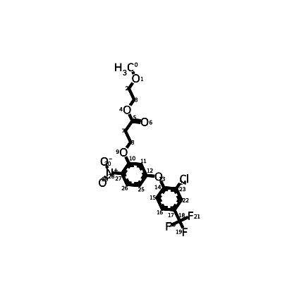 COCCOC(=O)CCOc1cc(Oc2ccc(C(F)(F)F)cc2Cl)ccc1[N+](=O)[O-]